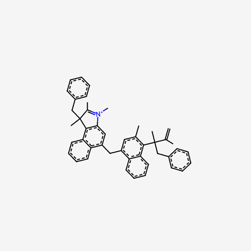 C=C(C)C(C)(Cc1ccccc1)c1c(C)cc(Cc2cc3c(c4ccccc24)C(C)(Cc2ccccc2)C(C)=[N+]3C)c2ccccc12